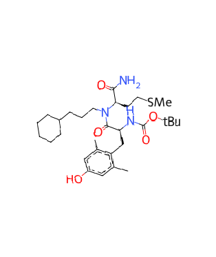 CSCC[C@H](C(N)=O)N(CCCC1CCCCC1)C(=O)[C@H](Cc1c(C)cc(O)cc1C)NC(=O)OC(C)(C)C